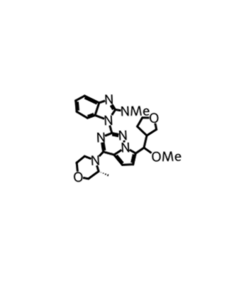 CNc1nc2ccccc2n1-c1nc(N2CCOC[C@H]2C)c2ccc(C(OC)C3CCOC3)n2n1